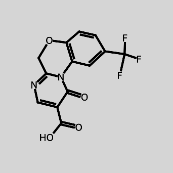 O=C(O)c1cnc2n(c1=O)-c1cc(C(F)(F)F)ccc1OC2